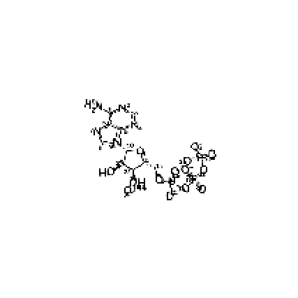 Nc1ncnc2c1ncn2[C@@H]1O[C@H](COP(=O)([O-])OP(=O)([O-])OP(=O)([O-])[O-])[C@@H](O)[C@H]1O.[Cu+4]